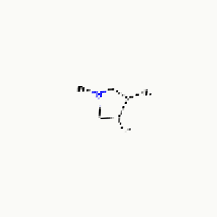 CCC(C)C1CN(C(C)C)CC1C(C)C